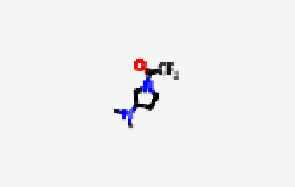 CN(C)C1CCN(C(=O)C(F)(F)F)C1